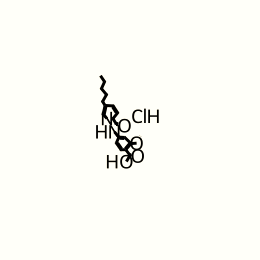 CCCCCc1ccc(C(=O)Nc2ccc(C(=O)O)c(OC)c2)nc1.Cl